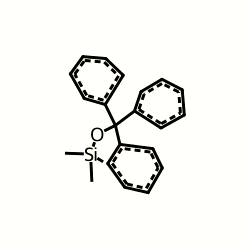 C[Si](C)(C)OC(c1ccccc1)(c1ccccc1)c1ccccc1